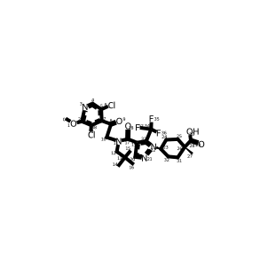 COc1ncc(Cl)c(C(=O)CN(CC(C)(C)C)C(=O)c2cnn([C@H]3CC[C@](C)(C(=O)O)CC3)c2C(F)(F)F)c1Cl